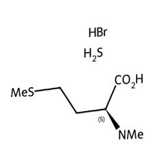 Br.CN[C@@H](CCSC)C(=O)O.S